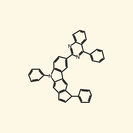 C1=CC(c2ccccc2)c2cc3c4cc(-c5nc(-c6ccccc6)c6ccccc6n5)ccc4n(-c4ccccc4)c3cc21